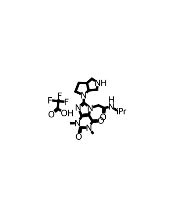 CC(C)NC(=O)Cn1c(N2CCC3CNCC32)nc2c1c(=O)n(C)c(=O)n2C.O=C(O)C(F)(F)F